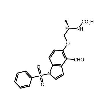 C[C@H](COc1ccc2c(ccn2S(=O)(=O)c2ccccc2)c1C=O)NC(=O)O